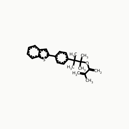 C=C(C)C(=C)OC(C)(C)C(C)(C)c1ccc(-c2cc3ccccc3s2)cc1